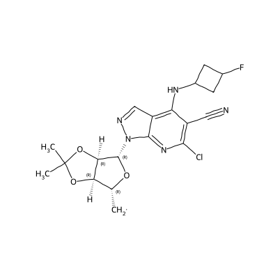 [CH2][C@H]1O[C@@H](n2ncc3c(NC4CC(F)C4)c(C#N)c(Cl)nc32)[C@@H]2OC(C)(C)O[C@@H]21